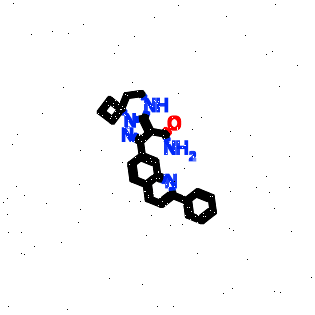 NC(=O)c1c(-c2ccc3ccc(-c4ccccc4)nc3c2)nn2c1NCCC21CCC1